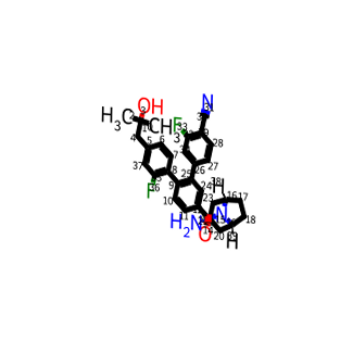 CC(C)(O)Cc1ccc(-c2ccc(C(=O)N3[C@@H]4CC[C@H]3C[C@H](N)C4)cc2-c2ccc(C#N)c(F)c2)c(F)c1